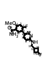 COc1cc(F)c(-c2ccc(NCC3CC(F)C3)nn2)cc1C(N)=O